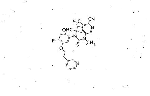 CN(C(=S)N(c1ccc(F)c(OCCc2cccnc2)c1)C1(C=O)CCC1)c1cnc(C#N)c(C(F)(F)F)c1